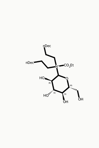 CCCCCCCCCCCC[N+](CCCCCCCCCCCC)(C(=O)OCC)C1O[C@H](CO)[C@@H](O)[C@H](O)[C@H]1O